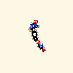 COc1ccc(COc2ccc3c(c2)CCC[C@H](C(=O)c2cn(C)c(=O)cn2)CC3)nc1